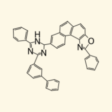 c1ccc(C2=NC(c3cccc(-c4ccccc4)c3)=NC(c3ccc4c(ccc5ccc6oc(-c7ccccc7)nc6c54)c3)N2)cc1